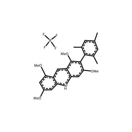 COc1cc(OC)c2cc3c(OC)c(-c4c(C)cc(C)cc4C)c(OC)cc3[nH+]c2c1.F[B-](F)(F)F